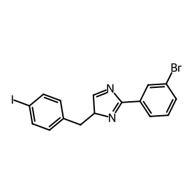 Brc1cccc(C2=NC(Cc3ccc(I)cc3)C=N2)c1